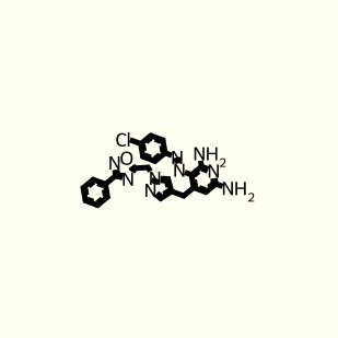 Nc1cc(Cc2cnn(Cc3nc(-c4ccccc4)no3)c2)c(N=Nc2ccc(Cl)cc2)c(N)n1